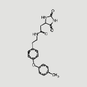 Cc1ccc(Oc2ccc(CCNC(=O)CC3NC(=O)NC3=O)cc2)cc1